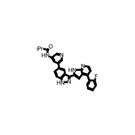 CC(C)C(=O)Nc1cncc(-c2ccc3[nH]nc(-c4cc5c(-c6ccccc6F)ccnc5[nH]4)c3c2)c1